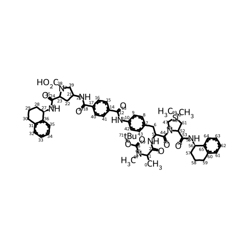 CC(C(=O)NC(Cc1ccc(NC(=O)c2ccc(C(=O)NC3CC(C(=O)N[C@@H]4CCCc5ccccc54)N(C(=O)O)C3)cc2)cc1)C(=O)N1C[Si](C)(C)CC1C(=O)N[C@@H]1CCCc2ccccc21)N(C)C(=O)OC(C)(C)C